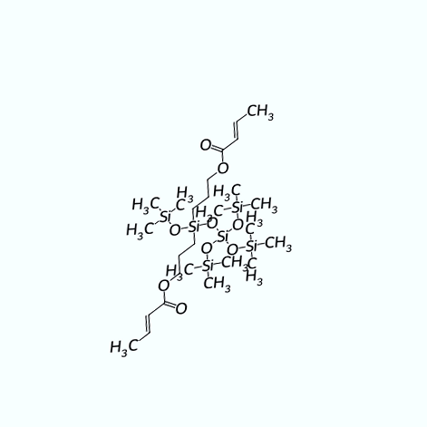 CC=CC(=O)OCCC[Si](CCCOC(=O)C=CC)(O[Si](C)(C)C)O[Si](O[Si](C)(C)C)(O[Si](C)(C)C)O[Si](C)(C)C